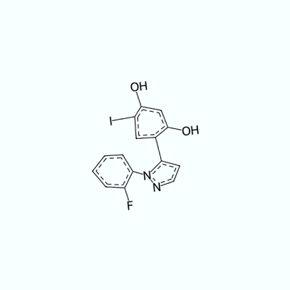 Oc1cc(O)c(-c2ccnn2-c2ccccc2F)cc1I